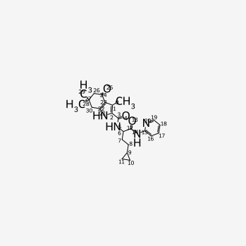 Cc1c(C(=O)NC(CCC2CC2)C(=O)Nc2ccccn2)[nH]c2c1C(=O)CC(C)(C)C2